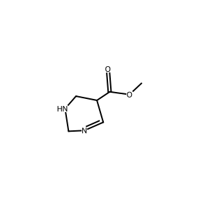 COC(=O)C1C=NCNC1